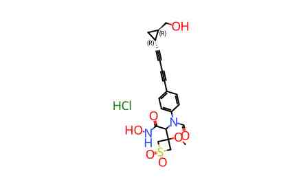 COC1(C(C(=O)NO)N(C=O)c2ccc(C#CC#C[C@@H]3C[C@H]3CO)cc2)CS(=O)(=O)C1.Cl